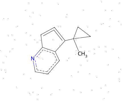 CC1(C2=C=Cc3ncccc32)CC1